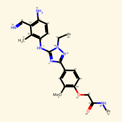 COc1cc(-c2nc(Nc3ccc(N)c(C=N)c3C)n(CC(C)C)n2)ccc1OCC(=O)NC(C)C